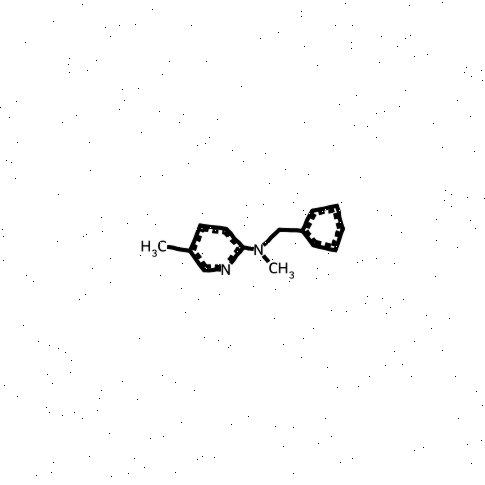 Cc1ccc(N(C)Cc2ccccc2)nc1